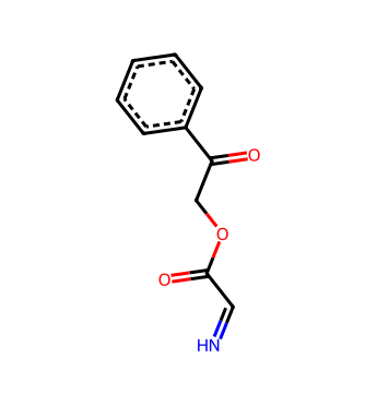 N=CC(=O)OCC(=O)c1ccccc1